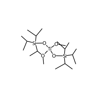 C[O][Ti]([O]C)([O][Si](C(C)C)(C(C)C)C(C)C)[O][Si](C(C)C)(C(C)C)C(C)C